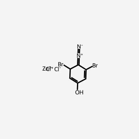 [Cl-].[Cl-].[N-]=[N+]=C1C(Br)=CC(O)=CC1Br.[Zn+2]